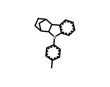 Cc1ccc(N2c3ccccc3C3C4CCC(C4)C32)cc1